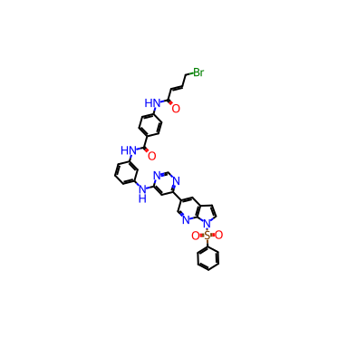 O=C(/C=C/CBr)Nc1ccc(C(=O)Nc2cccc(Nc3cc(-c4cnc5c(ccn5S(=O)(=O)c5ccccc5)c4)ncn3)c2)cc1